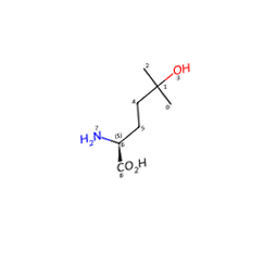 CC(C)(O)CC[C@H](N)C(=O)O